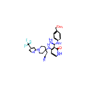 N#CCC1(Nc2cc[nH]c(=O)c2C(=N)Nc2ccc(CO)cc2)CCN(c2cc(C(F)(F)F)ccn2)CC1